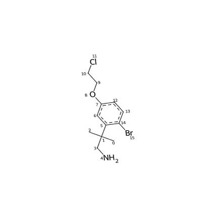 CC(C)(CN)c1cc(OCCCl)ccc1Br